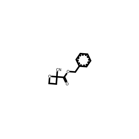 N#CC1(C(=O)OCc2ccccc2)CCO1